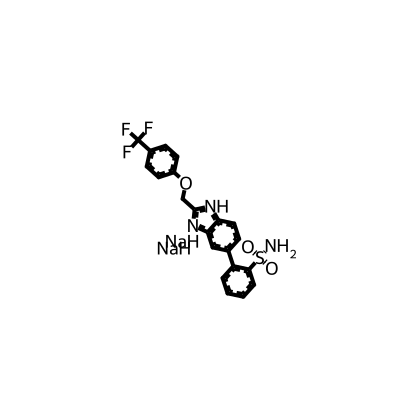 NS(=O)(=O)c1ccccc1-c1ccc2[nH]c(COc3ccc(C(F)(F)F)cc3)nc2c1.[NaH].[NaH]